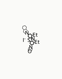 CCc1cc(N2CCOCC2)cc2[s+]c3cc(N4CCC5CCCCC5C4)cc(CC)c3nc12.[I-]